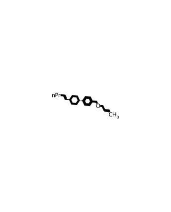 CC=CCOCc1ccc([C@H]2CC[C@H](C=CCCC)CC2)cc1